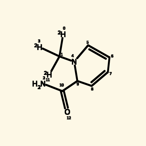 [2H]C([2H])([2H])N1C=CC=CC1C(N)=O